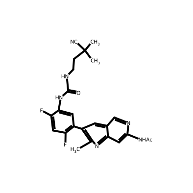 CC(=O)Nc1cc2nc(C)c(-c3cc(NC(=O)NCCC(C)(C)C#N)c(F)cc3F)cc2cn1